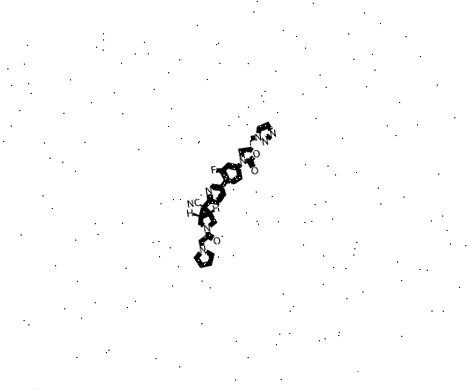 N#C[C@]1(c2ccc(-c3ccc(N4C[C@H](Cn5ccnn5)OC4=O)cc3F)cn2)[C@@H]2CN(C(=O)CN3CCCC3)C[C@@H]21